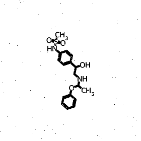 CC(NCC(O)c1ccc(NS(C)(=O)=O)cc1)Oc1ccccc1